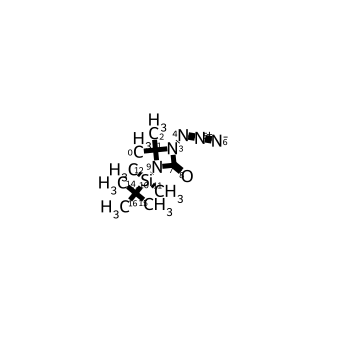 CC1(C)N(N=[N+]=[N-])C(=O)N1[Si](C)(C)C(C)(C)C